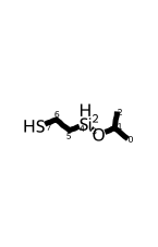 CC(C)O[SiH2]CCS